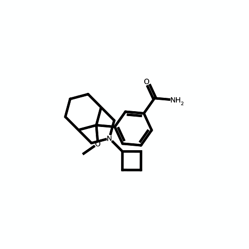 COC1(c2cccc(C(N)=O)c2)C2CCCC1CN(C1CCC1)C2